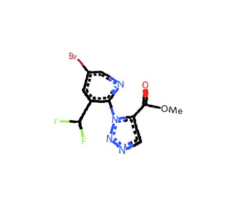 COC(=O)c1cnnn1-c1ncc(Br)cc1C(F)F